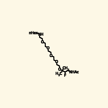 CCCCCCNCCOCCOCCOCCOCCOC(C)(C)C(F)CNC(C)=O